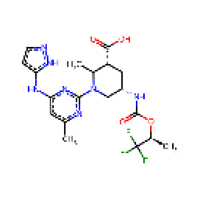 Cc1cc(Nc2ccn[nH]2)nc(N2C[C@@H](NC(=O)O[C@@H](C)C(F)(F)F)C[C@@H](C(=O)O)C2C)n1